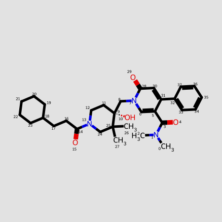 CN(C)C(=O)c1cn(C[C@]2(O)CCN(C(=O)CCC3CCCCC3)CC2(C)C)c(=O)cc1-c1ccccc1